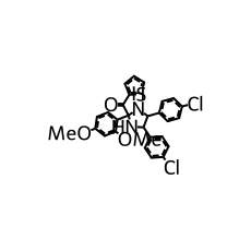 COc1ccc(C2(C(=O)c3cccs3)NC(c3ccc(Cl)cc3)C(c3ccc(Cl)cc3)N2)c(OC)c1